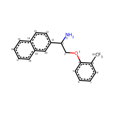 NC(COc1ccccc1C(F)(F)F)c1ccc2ccccc2c1